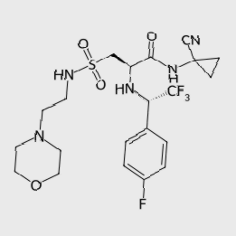 N#CC1(NC(=O)[C@H](CS(=O)(=O)NCCN2CCOCC2)N[C@@H](c2ccc(F)cc2)C(F)(F)F)CC1